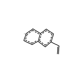 C=Cc1ccc2c[c]ccc2c1